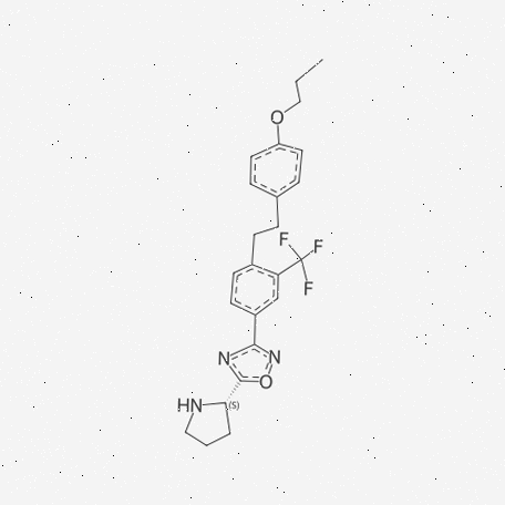 CCCOc1ccc(CCc2ccc(-c3noc([C@@H]4CCCN4)n3)cc2C(F)(F)F)cc1